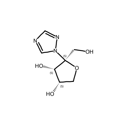 OC[C@]1(n2cncn2)OC[C@H](O)[C@@H]1O